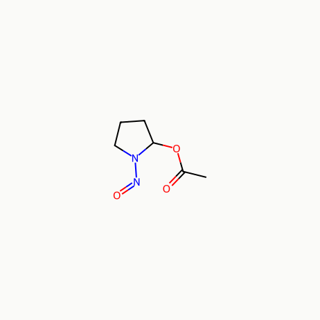 CC(=O)OC1CCCN1N=O